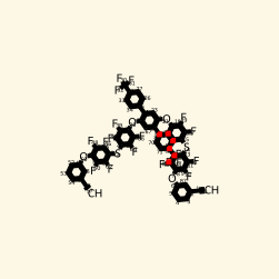 C#Cc1cccc(Oc2c(F)c(F)c(Sc3c(F)c(F)c(Oc4cc(-c5ccc(C(F)(F)F)cc5)c(Oc5c(F)c(F)c(Sc6c(F)c(F)c(Oc7cccc(C#C)c7)c(F)c6F)c(F)c5F)cc4-c4ccc(C(F)(F)F)cc4)c(F)c3F)c(F)c2F)c1